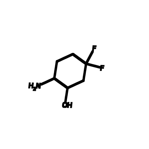 NC1CCC(F)(F)CC1O